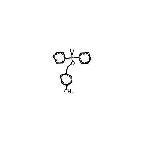 Cc1ccc(COP(=O)(c2ccccc2)c2ccccc2)cc1